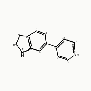 c1cc(-c2ccc3c(c2)NCC3)ccn1